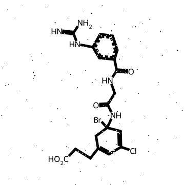 N=C(N)Nc1cccc(C(=O)NCC(=O)NC2(Br)C=C(Cl)C=C(CCC(=O)O)C2)c1